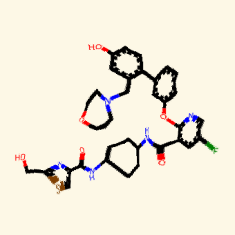 O=C(NC1CCC(NC(=O)c2cc(F)cnc2Oc2cccc(-c3ccc(O)cc3CN3CCOCC3)c2)CC1)c1csc(CO)n1